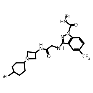 CC(C)NC(=O)n1nc(NCC(=O)NC2CN(C3CCC(C(C)C)CC3)C2)c2cc(C(F)(F)F)ccc21